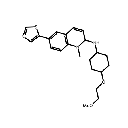 COCCOC1CCC(NC2C=Cc3cc(-c4cncs4)ccc3N2C)CC1